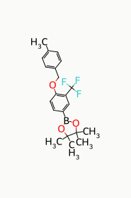 Cc1ccc(COc2ccc(B3OC(C)(C)C(C)(C)O3)cc2C(F)(F)F)cc1